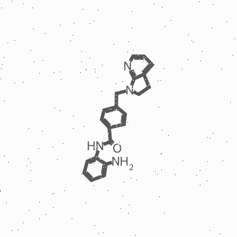 Nc1ccccc1NC(=O)c1ccc(CN2CCc3cccnc32)cc1